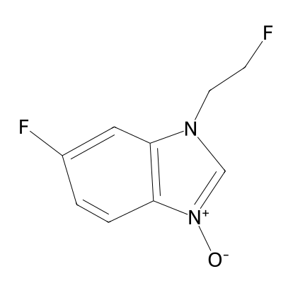 [O-][n+]1cn(CCF)c2cc(F)ccc21